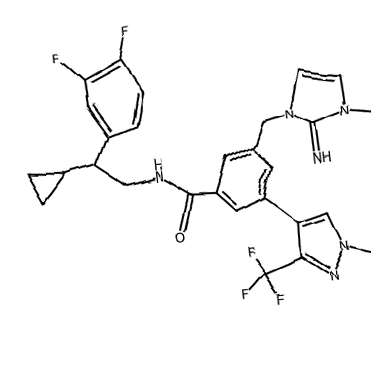 CCn1cc(-c2cc(Cn3ccn(C)c3=N)cc(C(=O)NCC(c3ccc(F)c(F)c3)C3CC3)c2)c(C(F)(F)F)n1